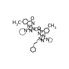 Cc1ccc2c(=O)nc3n(C)nc(N4CCCCCC4)n3c2c1.Cc1ccc2c(c1)c(=O)nc1n(CC=Cc3ccccc3)nc(N3CCCC3)n21